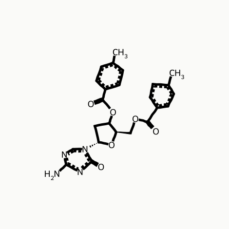 Cc1ccc(C(=O)OC[C@H]2O[C@H](n3cnc(N)nc3=O)CC2OC(=O)c2ccc(C)cc2)cc1